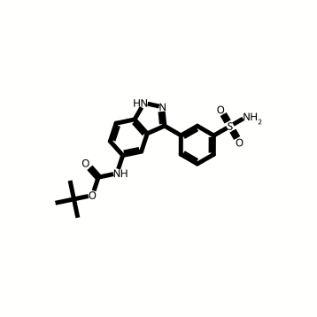 CC(C)(C)OC(=O)Nc1ccc2[nH]nc(-c3cccc(S(N)(=O)=O)c3)c2c1